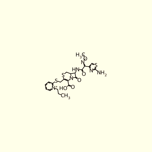 CCC[n+]1ccccc1SCC1=C(C(=O)O)N2C(=O)C(NC(=O)C(=NOC)c3csc(N)n3)C2CS1